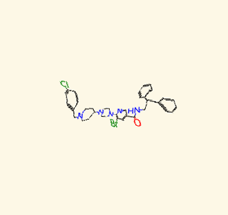 O=C(NCC(c1ccccc1)c1ccccc1)c1cnc(N2CCN(C3CCN(Cc4ccc(Cl)cc4)CC3)CC2)c(Br)c1